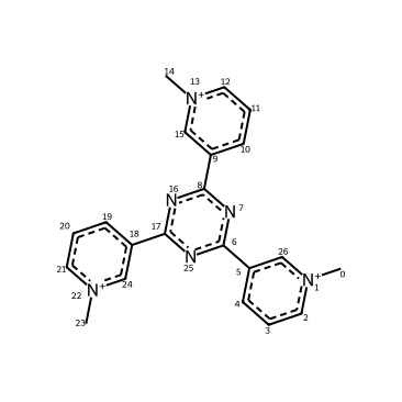 C[n+]1cccc(-c2nc(-c3ccc[n+](C)c3)nc(-c3ccc[n+](C)c3)n2)c1